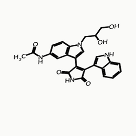 CC(=O)Nc1ccc2c(c1)c(C1=C(c3c[nH]c4ccccc34)C(=O)NC1=O)cn2CC(O)CO